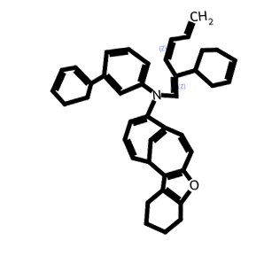 C=C/C=C\C(=C/N(C1=CC=CC2C=C1C=Cc1oc3c(c12)CCCC3)c1cccc(C2=CC=CCC2)c1)C1CC=CCC1